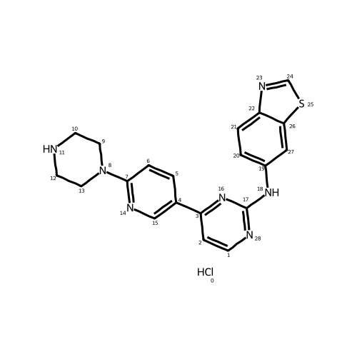 Cl.c1cc(-c2ccc(N3CCNCC3)nc2)nc(Nc2ccc3ncsc3c2)n1